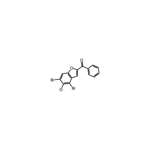 [O]c1c(Br)cc2oc(C(=O)c3ccccc3)cc2c1Br